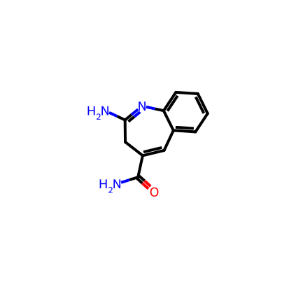 NC(=O)C1=Cc2ccccc2N=C(N)C1